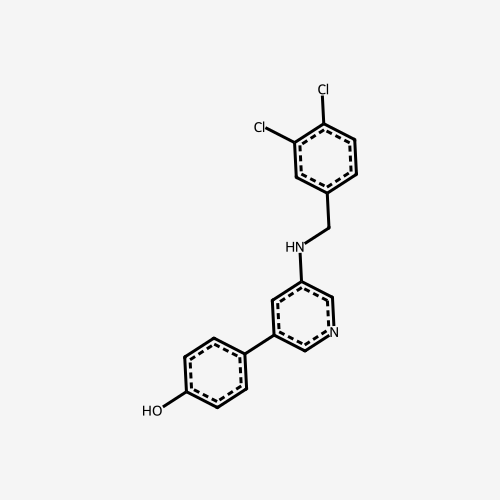 Oc1ccc(-c2cncc(NCc3ccc(Cl)c(Cl)c3)c2)cc1